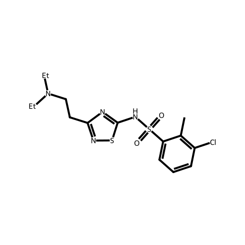 CCN(CC)CCc1nsc(NS(=O)(=O)c2cccc(Cl)c2C)n1